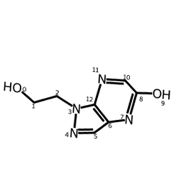 OCCn1ncc2nc(O)cnc21